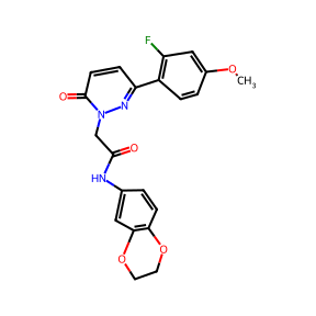 COc1ccc(-c2ccc(=O)n(CC(=O)Nc3ccc4c(c3)OCCO4)n2)c(F)c1